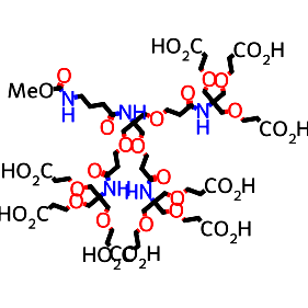 COC(=O)NCCCC(=O)NC(COCCC(=O)NC(COCCC(=O)O)(COCCC(=O)O)COCCC(=O)O)(COCCC(=O)NC(COCCC(=O)O)(COCCC(=O)O)COCCC(=O)O)COCCC(=O)NC(COCCC(=O)O)(COCCC(=O)O)COCCC(=O)O